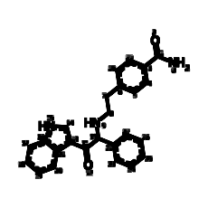 NC(=O)c1ccc(CCNC(C(=O)c2c[nH]c3ccccc23)c2ccccc2)cc1